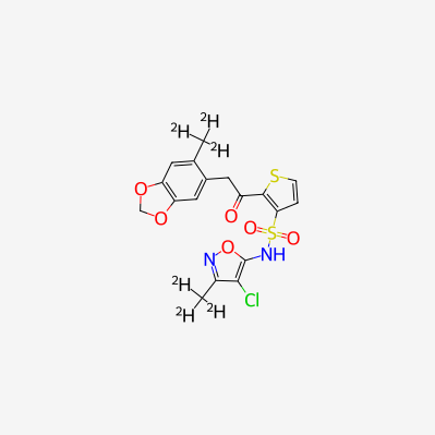 [2H]C([2H])([2H])c1cc2c(cc1CC(=O)c1sccc1S(=O)(=O)Nc1onc(C([2H])([2H])[2H])c1Cl)OCO2